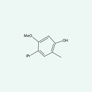 COc1cc(O)c(C)cc1C(C)C